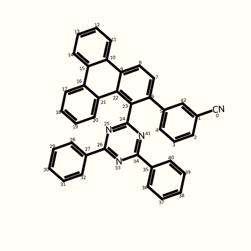 N#Cc1cccc(-c2ccc3c4ccccc4c4ccccc4c3c2-c2nc(-c3ccccc3)nc(-c3ccccc3)n2)c1